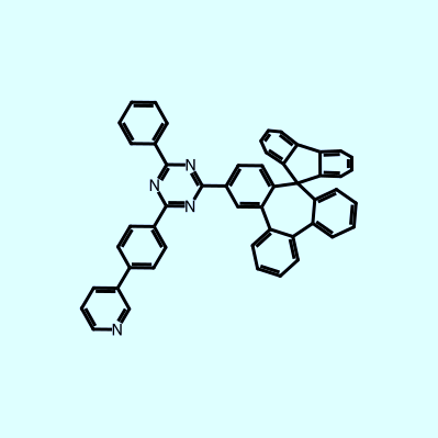 c1ccc(-c2nc(-c3ccc(-c4cccnc4)cc3)nc(-c3ccc4c(c3)-c3ccccc3-c3ccccc3C43c4ccccc4-c4ccccc43)n2)cc1